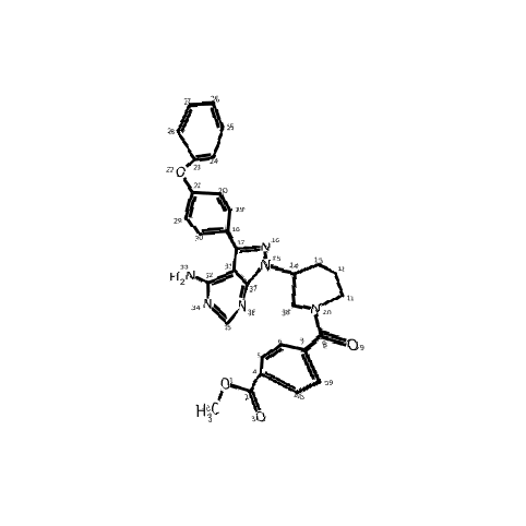 COC(=O)c1ccc(C(=O)N2CCCC(n3nc(-c4ccc(Oc5ccccc5)cc4)c4c(N)ncnc43)C2)cc1